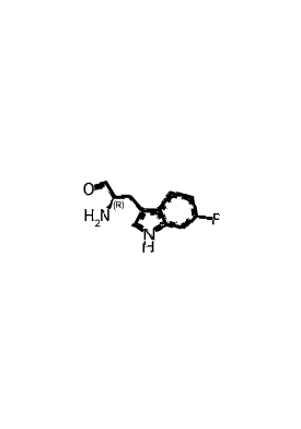 N[C@@H](C=O)Cc1c[nH]c2cc(F)ccc12